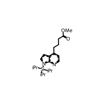 COC(=O)CCCc1ccnc2c1ccn2[Si](C(C)C)(C(C)C)C(C)C